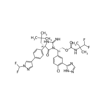 CC(C)(C)C[C@]1(c2ccc(-c3cnn(C(F)F)c3)cc2)NC(=N)N([C@H](COC(=O)NC(C)(C)C(F)F)c2ccc(Cl)c(-c3ncn[nH]3)c2)C1=O